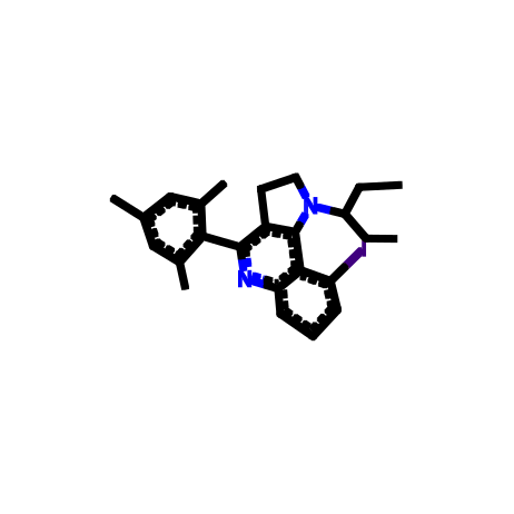 CCC(CC)N1CCc2c(-c3c(C)cc(C)cc3C)nc3cccc(I)c3c21